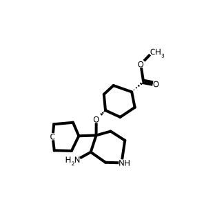 COC(=O)[C@H]1CC[C@@H](OC2(C3CCCCC3)CCNCC2N)CC1